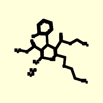 CCOC(=O)C1=C(COCCN)NC(C)=C(C(=O)OC)C1c1ccccc1Cl.O.O